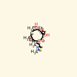 CC[C@H]1C(=O)C2(CCC2)[C@@H](O)CC(=O)O[C@H](C(C)=Cc2csc(C)n2)C[C@@H]2O[C@@]2(C)CCC[C@H](C)[C@@H]1O